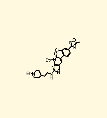 CCN1CCC(CCNc2ncc3cc(-c4ccc(-c5noc(C)n5)cc4Cl)c(=O)n(CC)c3n2)CC1